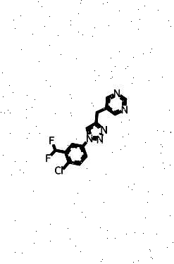 FC(F)c1cc(-n2cc(Cc3cncnc3)nn2)ccc1Cl